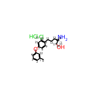 Cc1cccc(Oc2ccc(CCC[C@@](C)(N)CO)c(Cl)c2)c1.Cl